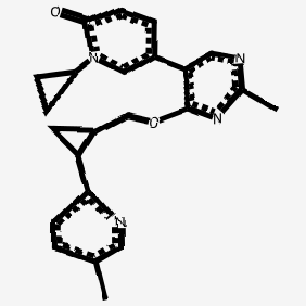 Cc1ccc(C2CC2COc2nc(C)ncc2-c2ccc(=O)n(C3CC3)c2)nc1